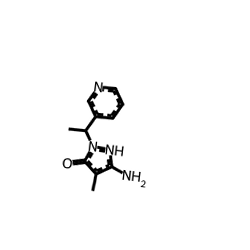 Cc1c(N)[nH]n(C(C)c2cccnc2)c1=O